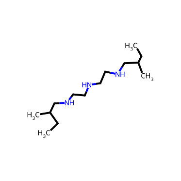 CCC(C)CNCCNCCNCC(C)CC